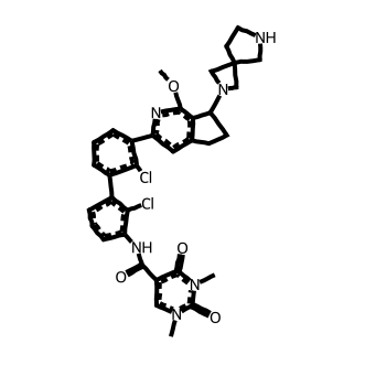 COc1nc(-c2cccc(-c3cccc(NC(=O)c4cn(C)c(=O)n(C)c4=O)c3Cl)c2Cl)cc2c1C(N1CC3(CCNC3)C1)CC2